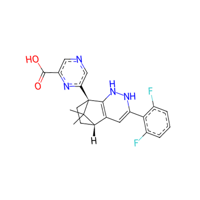 CC1(C)[C@H]2CC[C@]1(c1cncc(C(=O)O)n1)C1=C2C=C(c2c(F)cccc2F)NN1